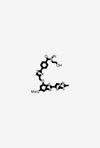 COc1cc(OCc2csc(-c3ccc(C(=O)N(CCO)C(C)C)cc3)n2)c2sc(-c3cn4nc(C)sc4n3)nc2c1